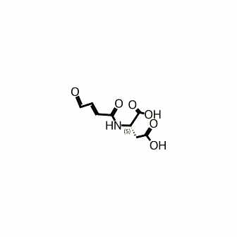 O=CC=CC(=O)N[C@@H](CC(=O)O)C(=O)O